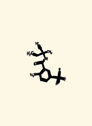 C#CC(C)(CC)NC(=O)c1cc(C(F)(F)F)ccc1N